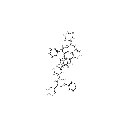 c1ccc(-c2nc(-c3ccccc3)nc(-c3cccc(-c4ccc(-c5cccc6cc(-c7ccccc7)n7nc(-c8ccccc8)c(-c8ccccc8)c7c56)cc4)c3)n2)cc1